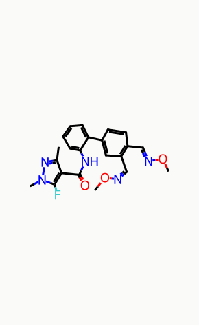 CO/N=C\c1cc(-c2ccccc2NC(=O)c2c(C)nn(C)c2F)ccc1/C=N/OC